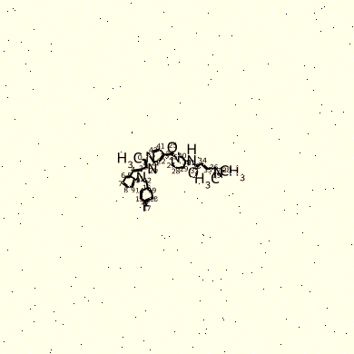 Cc1c(-c2cc3ccccc3n2Cc2ccc(F)cc2)nc2cc(C(=O)N3CCCC(NC(=O)/C=C/CN(C)C)C3)ccn12